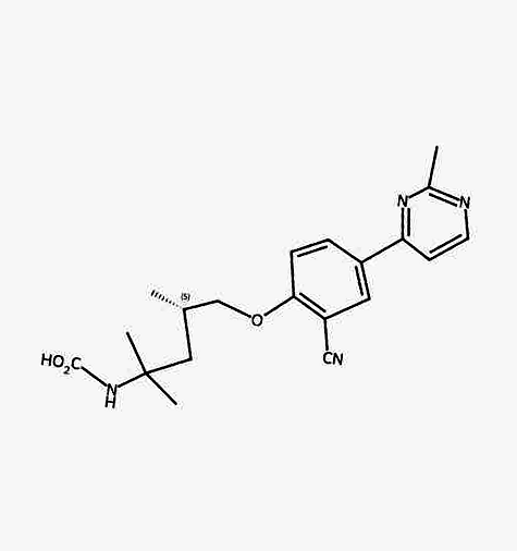 Cc1nccc(-c2ccc(OC[C@@H](C)CC(C)(C)NC(=O)O)c(C#N)c2)n1